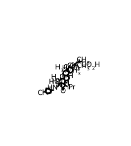 CC(C)C1=C2[C@H]3CC[C@@H]4[C@@]5(C)CC[C@H](OC(=O)CC(C)(C)CC(=O)O)C(C)(C)[C@@H]5CC[C@@]4(C)[C@]3(C)CC[C@@]2([C@H](O)CNCc2ccc(Cl)cc2)CC1=O